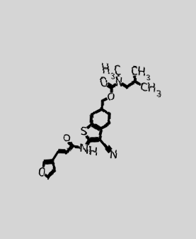 CC(C)CN(C)C(=O)OCC1CCc2c(sc(NC(=O)C=Cc3ccoc3)c2C#N)C1